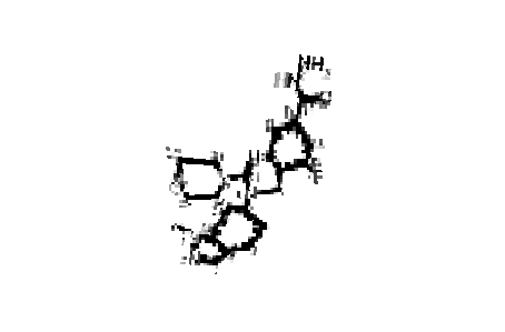 Cn1ncc2ccc(N(Cc3ccc(C(=O)NN)cc3F)C(=O)N3CCOCC3)cc21